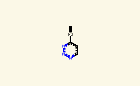 [CH2]=[Pd][c]1ccnnn1